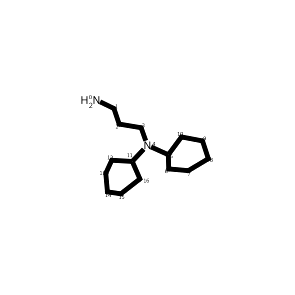 NCCCN(C1CCCCC1)C1CCCCC1